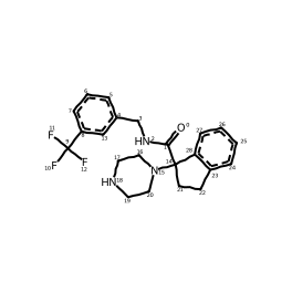 O=C(NCc1cccc(C(F)(F)F)c1)C1(N2CCNCC2)CCc2ccccc21